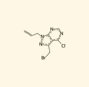 C=CCn1nc(CBr)c2c(Cl)ncnc21